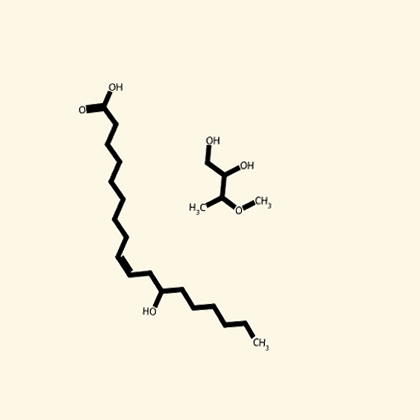 CCCCCCC(O)C/C=C\CCCCCCCC(=O)O.COC(C)C(O)CO